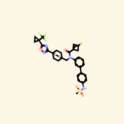 CS(=O)(=O)Nc1ccc(-c2cccc(N(CC34CCC(c5noc(C6(C(F)(F)F)CC6)n5)(CC3)CC4)C(=O)C34CC(F)(C3)C4)c2)cc1